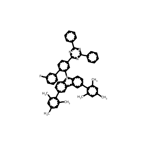 Cc1cc(C)c(-c2ccc3c(c2)c2cc(-c4c(C)cc(C)cc4C)ccc2n3-c2cc(-c3nc(-c4ccccc4)nc(-c4ccccc4)n3)ccc2-c2cccc(F)c2)c(C)c1